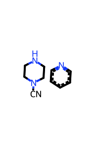 N#CN1CCNCC1.c1ccncc1